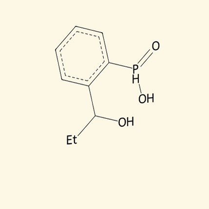 CCC(O)c1ccccc1[PH](=O)O